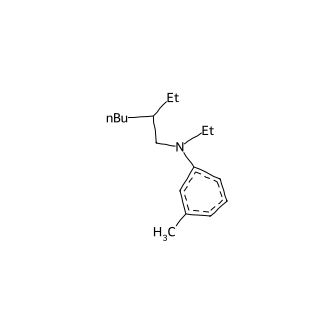 CCCCC(CC)CN(CC)c1cccc(C)c1